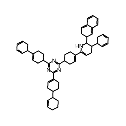 C1=CCC(C2=CCC(c3nc(C4=CCC(C5C=CCCC5)CC4)nc(C4CC=C(C5=CCC(C6C=CC=CC6)C(C6C=c7ccccc7=CC6)N5)CC4)n3)CC2)C=C1